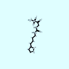 NS(=O)(=O)C(=O)CNC(=O)NCCCCC1CCSS1